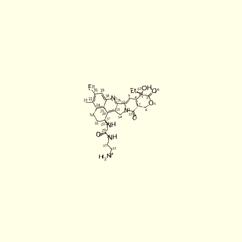 CC[C@@]1(O)C(=O)OCc2c1cc1n(c2=O)Cc2c-1nc1cc(F)c(C)c3c1c2[C@@H](NC(=O)NCCN)CC3